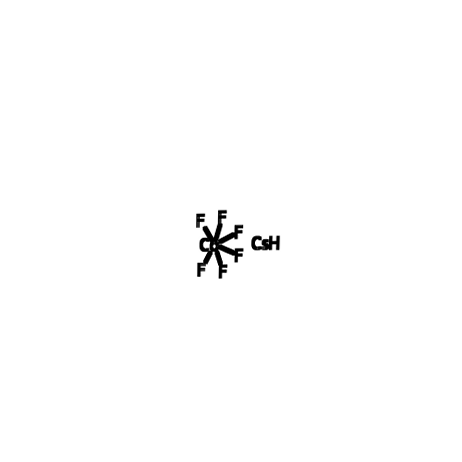 [CsH].[F][Co]([F])([F])([F])([F])[F]